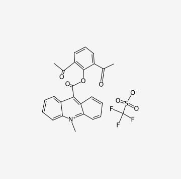 CC(=O)c1cccc(C(C)=O)c1OC(=O)c1c2ccccc2[n+](C)c2ccccc12.O=S(=O)([O-])C(F)(F)F